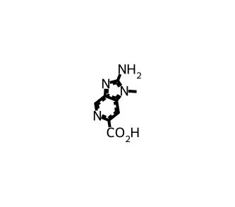 Cn1c(N)nc2cnc(C(=O)O)cc21